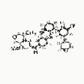 COC[C@H](CN1CCOC[C@@H]1C)Nc1ccc2c(c1)Sc1cccc(-c3cc(N4CCOCC4)cc(=O)[nH]3)c1S2